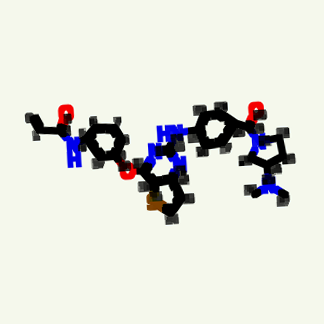 C=CC(=O)Nc1cccc(Oc2nc(Nc3ccc(C(=O)N4CCC(N(C)C)C4)cc3)nc3ccsc23)c1